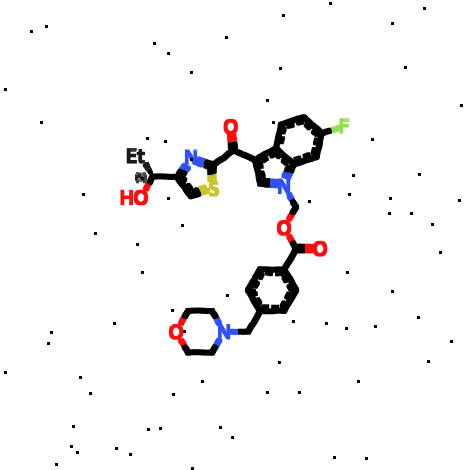 CC[C@H](O)c1csc(C(=O)c2cn(COC(=O)c3ccc(CN4CCOCC4)cc3)c3cc(F)ccc23)n1